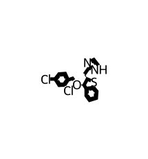 Clc1ccc(CO[C@H]2c3ccccc3S[C@H]2Cc2ncc[nH]2)c(Cl)c1